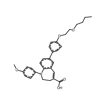 CCCCOCCOc1ccc(-c2ccc3c(c2)C=C(C(=O)O)CCN3c2ccc(OC)cc2)cc1